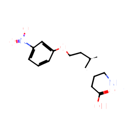 C[C@H](CCOc1cccc([N+](=O)[O-])c1)C[C@H](CN)CC(=O)O